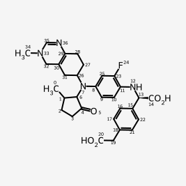 CC1CCC(=O)C1N(c1ccc(N[C@@H](C(=O)O)c2ccc(CC(=O)O)cc2)c(F)c1)C1CCC2=C(C1)CN(C)C=N2